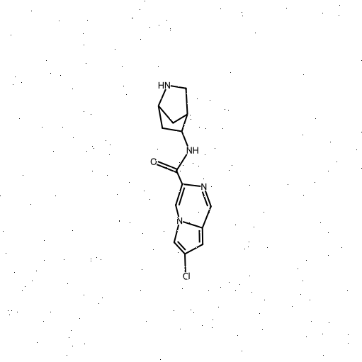 O=C(NC1CC2CC1CN2)c1cn2cc(Cl)cc2cn1